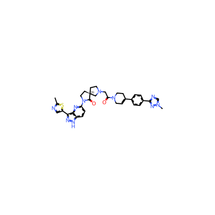 Cc1ncc(-c2n[nH]c3ccc(N4CC[C@]5(CCN(CC(=O)N6CC=C(c7ccc(-c8ncn(C)n8)cc7)CC6)C5)C4=O)nc23)s1